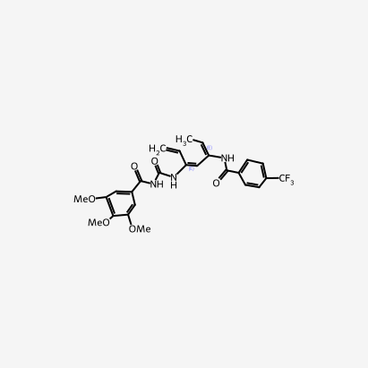 C=C/C(=C\C(=C/C)NC(=O)c1ccc(C(F)(F)F)cc1)NC(=O)NC(=O)c1cc(OC)c(OC)c(OC)c1